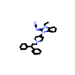 CCn1/c(=N\C#N)n(C2CCN(CCC(c3ccccc3)c3ccccc3)CC2)c2ccccc21